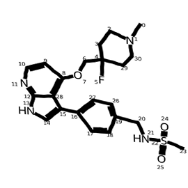 CN1CCC(F)(COc2ccnc3[nH]cc(-c4ccc(CNS(C)(=O)=O)cc4)c23)CC1